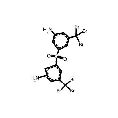 Nc1cc(C(Br)(Br)Br)cc(S(=O)(=O)c2cc(N)cc(C(Br)(Br)Br)c2)c1